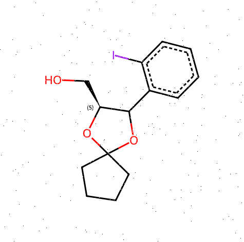 OC[C@@H]1OC2(CCCC2)OC1c1ccccc1I